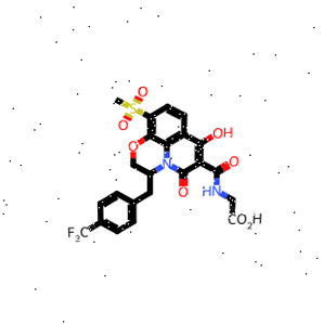 CS(=O)(=O)c1ccc2c(O)c(C(=O)NCC(=O)O)c(=O)n3c2c1OCC3Cc1ccc(C(F)(F)F)cc1